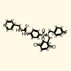 O=S(=O)(c1ccc(NC(=S)NCc2ccncc2)cc1)N(Cc1ccc(F)cc1)Cc1cc(Cl)ccc1Cl